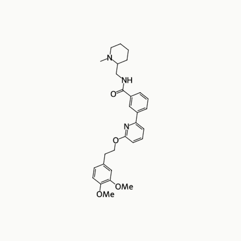 COc1ccc(CCOc2cccc(-c3cccc(C(=O)NCC4CCCCN4C)c3)n2)cc1OC